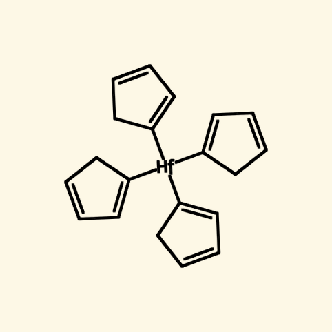 C1=CC[C]([Hf]([C]2=CC=CC2)([C]2=CC=CC2)[C]2=CC=CC2)=C1